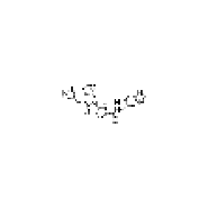 O=C(NCc1ccc2nccn2c1)c1cnc(N(CC2CCCO2)C(=O)CCc2cnoc2)s1